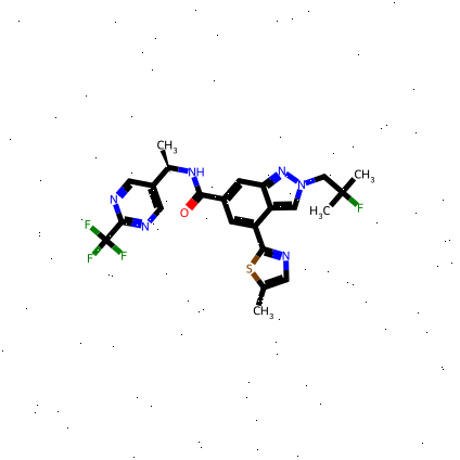 Cc1cnc(-c2cc(C(=O)N[C@H](C)c3cnc(C(F)(F)F)nc3)cc3nn(CC(C)(C)F)cc23)s1